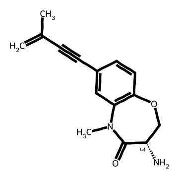 C=C(C)C#Cc1ccc2c(c1)N(C)C(=O)[C@@H](N)CO2